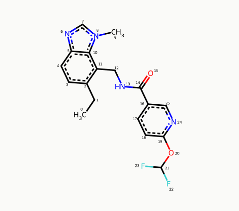 CCc1ccc2ncn(C)c2c1CNC(=O)c1ccc(OC(F)F)nc1